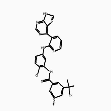 CC(C)(C#N)c1cc(F)cc(C(=O)Nc2cc(Nc3ncccc3-c3ncnc4[nH]cnc34)ccc2Cl)c1